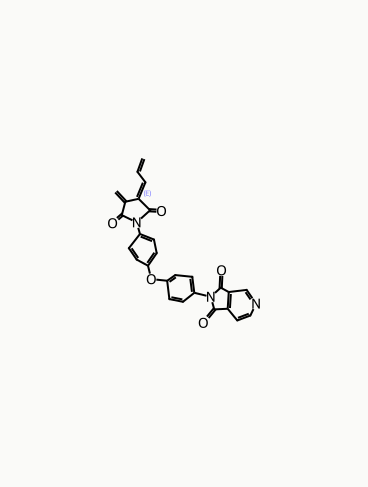 C=C/C=C1\C(=C)C(=O)N(c2ccc(Oc3ccc(N4C(=O)c5ccncc5C4=O)cc3)cc2)C1=O